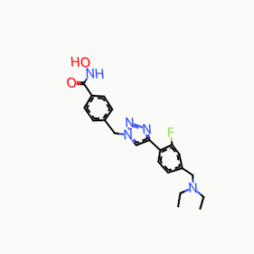 CCN(CC)Cc1ccc(-c2cn(Cc3ccc(C(=O)NO)cc3)nn2)c(F)c1